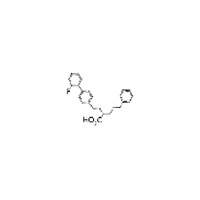 O=C(O)C(CCCc1ccccc1)CCc1ccc(-c2ccccc2F)cc1